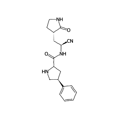 N#C[C@H](C[C@@H]1CCNC1=O)NC(=O)C1C[C@@H](c2ccccc2)CN1